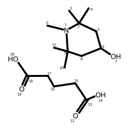 CN1C(C)(C)CC(O)CC1(C)C.O=C(O)CCCC(=O)O